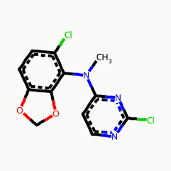 CN(c1ccnc(Cl)n1)c1c(Cl)ccc2c1OCO2